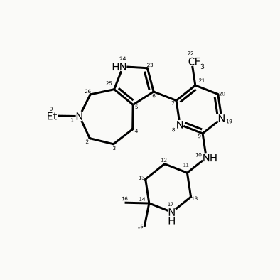 CCN1CCCc2c(-c3nc(NC4CCC(C)(C)NC4)ncc3C(F)(F)F)c[nH]c2C1